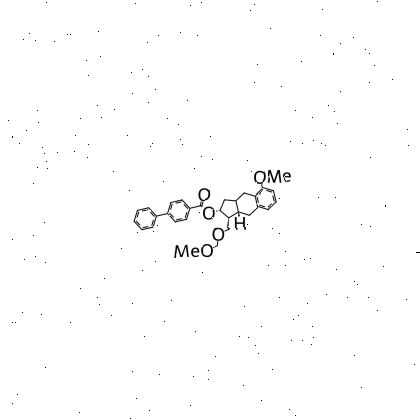 COCOC[C@H]1[C@H](OC(=O)c2ccc(-c3ccccc3)cc2)CC2Cc3c(cccc3OC)C[C@@H]21